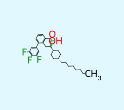 CCCCCCCC[C@H]1CC[C@H](C(F)Cc2c(C(=O)O)cccc2-c2cc(F)c(F)c(F)c2)CC1